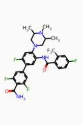 CC1CN(c2cc(F)c(-c3cc(F)c(C(N)=O)c(F)c3)cc2NC(=O)c2ccc(F)cc2C(F)(F)F)CC(C)N1C